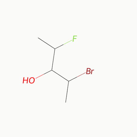 CC(F)C(O)C(C)Br